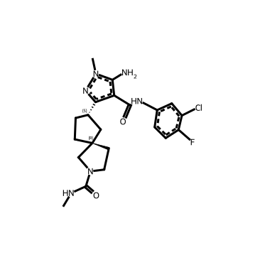 CNC(=O)N1CC[C@]2(CC[C@H](c3nn(C)c(N)c3C(=O)Nc3ccc(F)c(Cl)c3)C2)C1